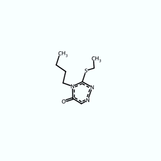 CCCCn1c(SCC)nncc1=O